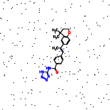 C/C(=C\c1ccc(C(=O)Nc2nnn[nH]2)cc1)c1ccc2c(c1)C(C)(C)CCO2